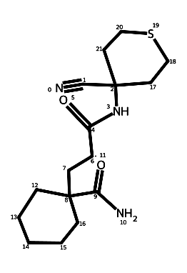 N#CC1(NC(=O)[CH]CC2(C(N)=O)CCCCC2)CCSCC1